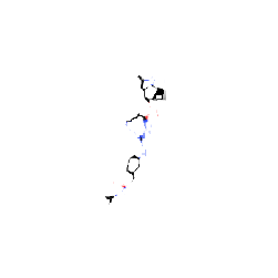 Cc1cc2cc(Oc3ccnc(Nc4cccc(CC(=O)NC5CC5)c4)n3)ccc2[nH]1